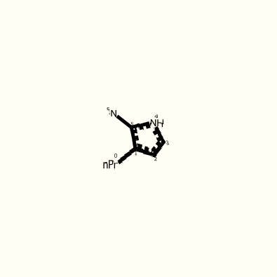 CCCc1cc[nH]c1[N]